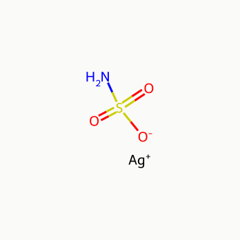 NS(=O)(=O)[O-].[Ag+]